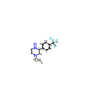 CN1CCNC(c2ccc(C(F)(F)F)cc2)C1